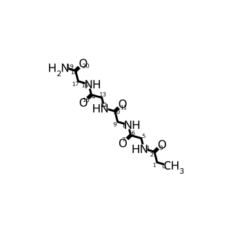 CCC(=O)NCC(=O)NCC(=O)NCC(=O)NCC(N)=O